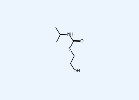 CC(C)NC(=O)SCCO